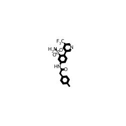 Cc1ccc(CC(=O)Nc2ccc(-c3cncc(C(F)(F)F)c3)c(S(N)(=O)=O)c2)cc1